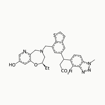 CC[C@@H]1CN(Cc2cc(C(CC(=O)O)c3ccc4c(nnn4C)c3C)cc3ccsc23)Cc2ncc(O)cc2O1